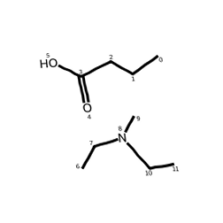 CCCC(=O)O.CCN(C)CC